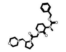 CN(C(=O)OCc1ccccc1)C1CCCN(CC(=O)N2CCC[C@H]2CN2CCOCC2)C1=O